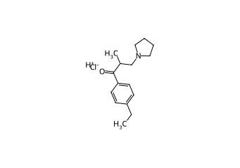 CCc1ccc(C(=O)C(C)CN2CCCC2)cc1.[Cl-].[H+]